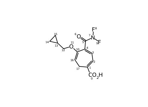 O=C(O)C1=CC=C(C(=O)N(F)F)C(OCC2CC2)=CC1